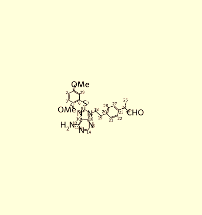 COc1ccc(OC)c(Sc2nc3c(N)ncnc3n2CCc2ccc(C(C)C=O)cc2)c1